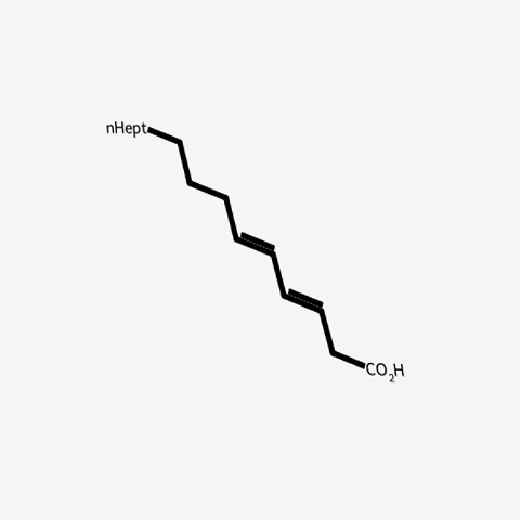 CCCCCCCCCCC=CC=CCC(=O)O